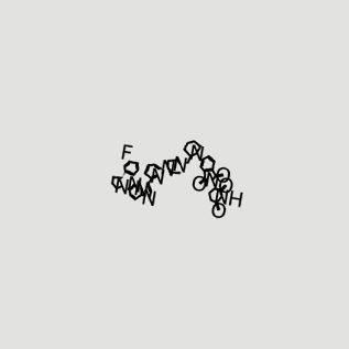 O=C1CCC(N2C(=O)c3ccc(N4CCCCC4CN4CCN(c5cccc(-c6cnc7ccc(N8CCC[C@@H]8c8cccc(F)c8)nn67)n5)CC4)cc3C2=O)C(=O)N1